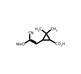 COC(C#N)=CC1C(C(=O)O)C1(C)C